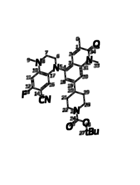 Cc1cc2c(N3CCN(C)c4cc(F)c(C#N)cc43)cc(C3CCN(C(=O)OC(C)(C)C)CC3)cc2n(C)c1=O